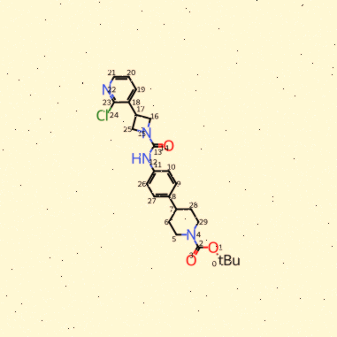 CC(C)(C)OC(=O)N1CCC(c2ccc(NC(=O)N3CC(c4cccnc4Cl)C3)cc2)CC1